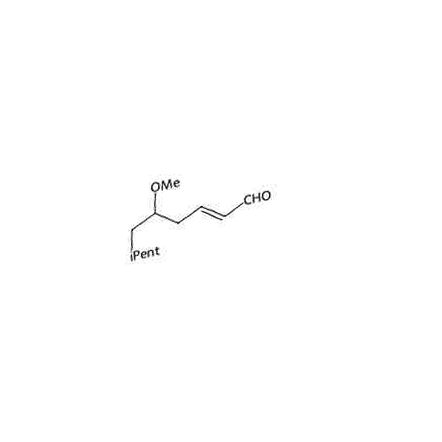 CCCC(C)CC(CC=CC=O)OC